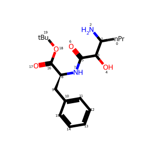 CCCC(N)C(O)C(=O)N[C@@H](Cc1ccccc1)C(=O)OC(C)(C)C